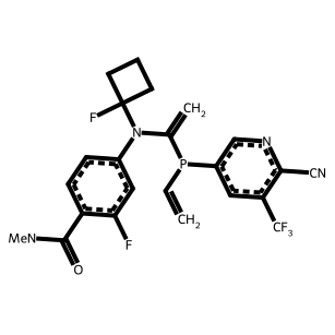 C=CP(C(=C)N(c1ccc(C(=O)NC)c(F)c1)C1(F)CCC1)c1cnc(C#N)c(C(F)(F)F)c1